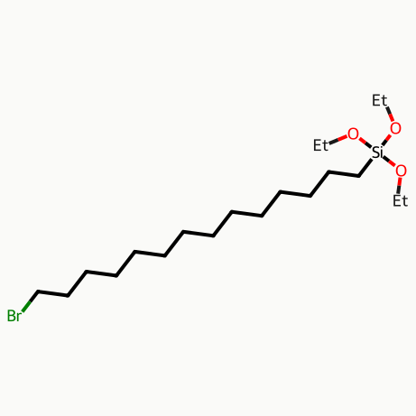 CCO[Si](CCCCCCCCCCCCCCBr)(OCC)OCC